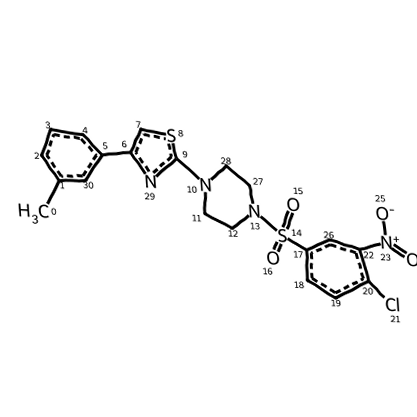 Cc1cccc(-c2csc(N3CCN(S(=O)(=O)c4ccc(Cl)c([N+](=O)[O-])c4)CC3)n2)c1